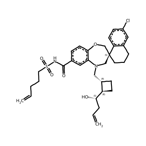 C=CCCCS(=O)(=O)NC(=O)c1ccc2c(c1)N(C[C@@H]1CC[C@H]1[C@@H](O)CC=C)C[C@@]1(CCCc3cc(Cl)ccc31)CO2